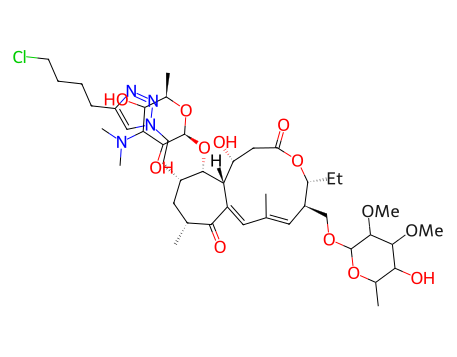 CC[C@H]1OC(=O)C[C@@H](O)[C@@H]2/C(=C\C(C)=C\[C@@H]1COC1OC(C)C(O)C(OC)C1OC)C(=O)[C@H](C)C[C@H](CCn1cc(CCCCCl)nn1)[C@@H]2O[C@@H]1O[C@H](C)C(O)C(N(C)C)C1O